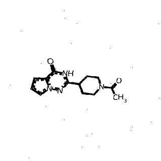 CC(=O)N1CCC(c2nn3cccc3c(=O)[nH]2)CC1